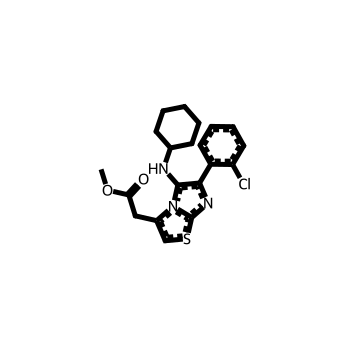 COC(=O)Cc1csc2nc(-c3ccccc3Cl)c(NC3CCCCC3)n12